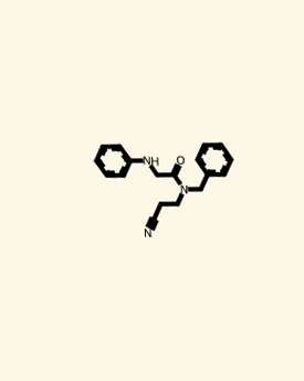 N#CCCN(Cc1ccccc1)C(=O)CNc1ccccc1